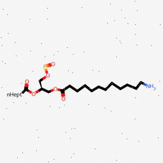 CCCCCCCC(=O)O[C@@H](COP=O)COC(=O)CCCCCCCCCCCN